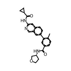 Cc1ccc(C(=O)N[C@H]2CCOC2)cc1-c1ccc2cc(NC(=O)C3CC3)ncc2c1